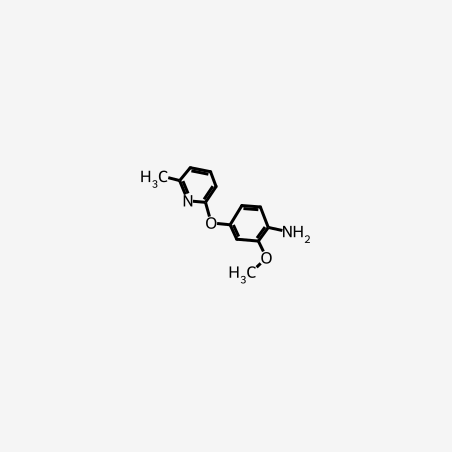 COc1cc(Oc2cccc(C)n2)ccc1N